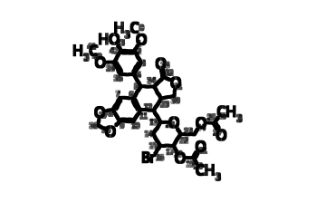 COc1cc(C2c3cc4c(cc3C(C3CC(Br)C(OC(C)=O)C(COC(C)=O)O3)C3COC(=O)C23)OCO4)cc(OC)c1O